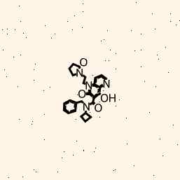 O=C1CCCN1CCn1c(=O)c(C(=O)N(Cc2ccccc2)C2CCC2)c(O)c2ncccc21